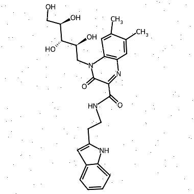 Cc1cc2nc(C(=O)NCCc3cc4ccccc4[nH]3)c(=O)n(C[C@H](O)[C@H](O)[C@H](O)CO)c2cc1C